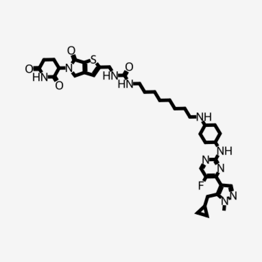 Cn1ncc(-c2nc(NC3CCC(NCCCCCCCCNC(=O)NCc4cc5c(s4)C(=O)N(C4CCC(=O)NC4=O)C5)CC3)ncc2F)c1CC1CC1